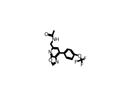 CC(=O)NCc1cc(-c2ccc(OC(F)(F)F)cc2)c2ncoc2n1